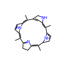 C/C1=C2\CCC(=N2)/C(C)=c2/cc/c([nH]2)=C(\C)C2=C/C(=C(/C)C3=CCC1N3)NC2